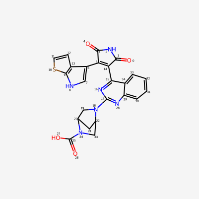 O=C1NC(=O)C(c2c[nH]c3sccc23)=C1c1nc(N2CC3CC2CN3C(=O)O)nc2ccccc12